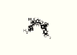 Cc1ccc(C(=O)Nc2ccc(CN3CCN(C)CC3)c(C(F)(F)F)c2)cc1-n1cc(-c2cnc(N)nc2)nn1